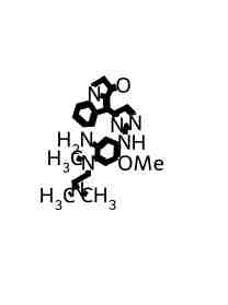 COc1cc(N(C)CCN(C)C)c(N)cc1Nc1nccc(-c2c3n(c4ccccc24)CCC3=O)n1